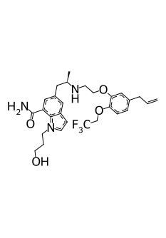 C=CCc1ccc(OCC(F)(F)F)c(OCCN[C@H](C)Cc2cc(C(N)=O)c3c(ccn3CCCO)c2)c1